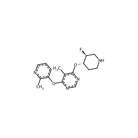 Cc1ncccc1Oc1ncnc(O[C@H]2CCNC[C@@H]2F)c1C